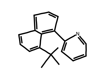 CC(C)(C)c1cccc2cccc(-c3ccccn3)c12